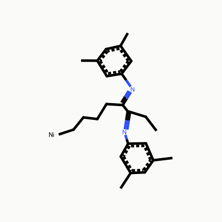 CCCCCC(=N\c1cc(C)cc(C)c1)/C(CC)=N/c1cc(C)cc(C)c1.[Ni]